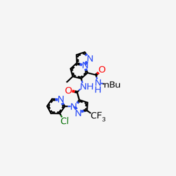 CCCCNC(=O)c1c(NC(=O)c2cc(C(F)(F)F)nn2-c2ncccc2Cl)c(C)cc2ccnn12